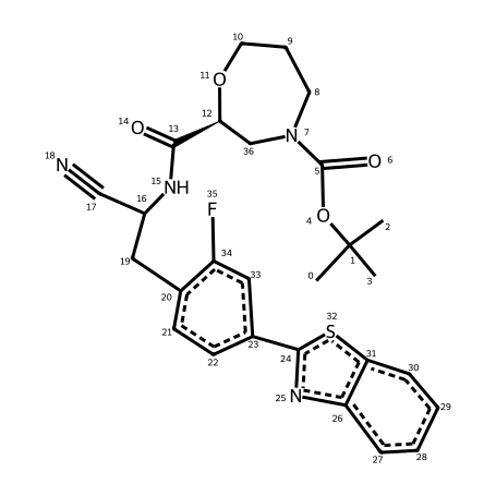 CC(C)(C)OC(=O)N1CCCO[C@H](C(=O)NC(C#N)Cc2ccc(-c3nc4ccccc4s3)cc2F)C1